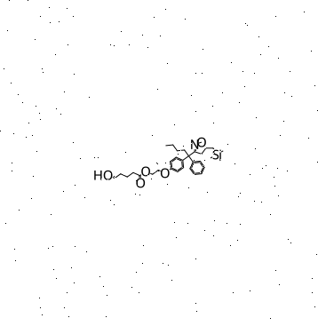 CCCCC(C1=NOC(C[Si](C)(C)C)C1)(c1ccccc1)c1ccc(OCCOC(=O)CCCCO)cc1